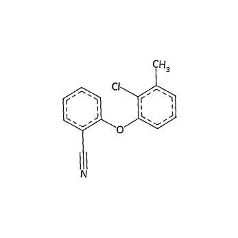 Cc1cccc(Oc2ccccc2C#N)c1Cl